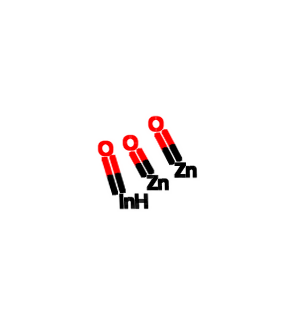 [O]=[InH].[O]=[Zn].[O]=[Zn]